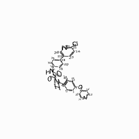 O=S(=O)(Nc1ccc(Oc2ccncc2)cc1)Nc1ccc(-c2ccc(Cl)nc2)cc1